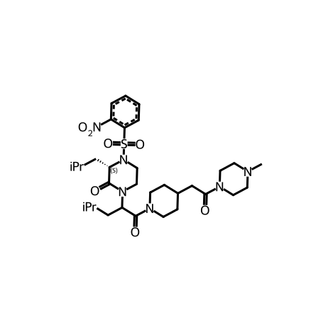 CC(C)CC(C(=O)N1CCC(CC(=O)N2CCN(C)CC2)CC1)N1CCN(S(=O)(=O)c2ccccc2[N+](=O)[O-])[C@@H](CC(C)C)C1=O